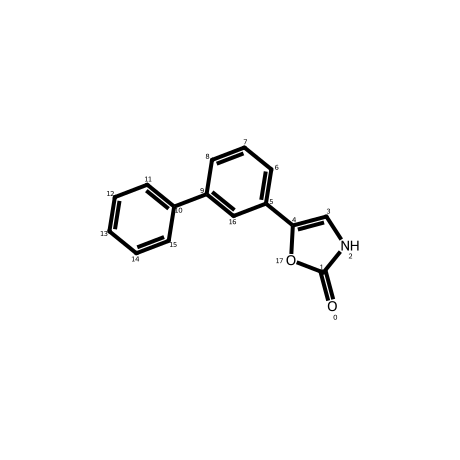 O=c1[nH]cc(-c2cccc(-c3ccccc3)c2)o1